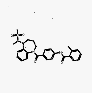 Cc1ccccc1C(=O)Nc1ccc(C(=O)N2CCCC(N(C)S(C)(=O)=O)c3ccccc32)cc1